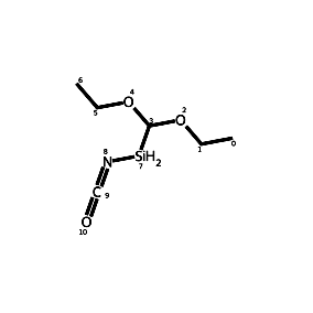 CCOC(OCC)[SiH2]N=C=O